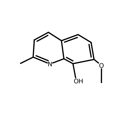 COc1ccc2ccc(C)nc2c1O